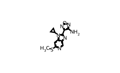 CSc1cc2c(cn1)nc(-c1nonc1N)n2C1CC1